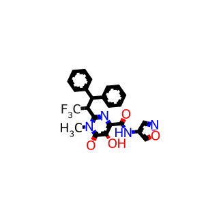 Cn1c(C(C(c2ccccc2)c2ccccc2)C(F)(F)F)nc(C(=O)Nc2cnoc2)c(O)c1=O